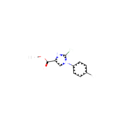 COC(=O)c1cn(-c2ccc(C)cc2)c(Br)n1